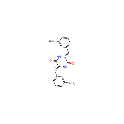 O=c1[nH]/c(=C\c2cccc([N+](=O)[O-])c2)c(=O)[nH]/c1=C\c1cccc([N+](=O)[O-])c1